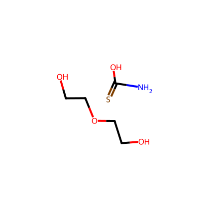 NC(O)=S.OCCOCCO